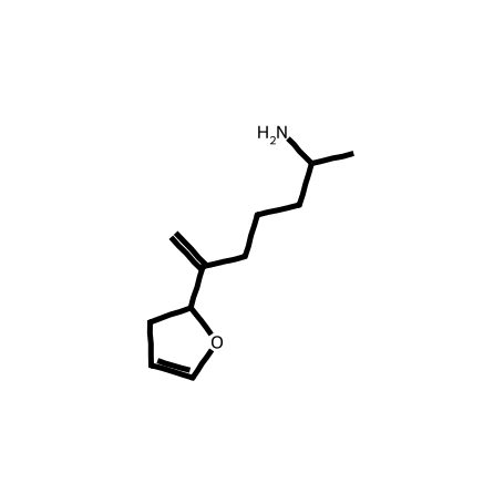 C=C(CCCC(C)N)C1CC=CO1